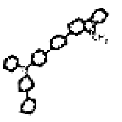 Cn1c2ccccc2c2ccc(-c3ccc(-c4ccc(N(c5ccccc5)c5ccc(-c6ccccc6)cc5)cc4)cc3)cc21